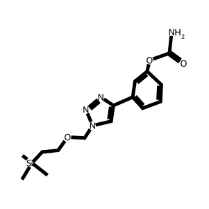 C[Si](C)(C)CCOCn1cc(-c2cccc(OC(N)=O)c2)nn1